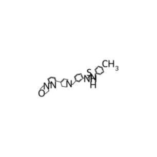 Cc1ccc(NC(=S)Nc2cccc(CN3CC=C(c4cccc(N5CCOCC5)n4)CC3)c2)cc1